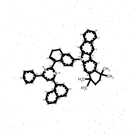 CC1(C)CCC(C)(C)c2cc3c(cc21)c1cc2ccccc2cc1n3-c1ccc2c(c1)CCC=C2c1nc(-c2ccccc2)cc(-c2cccc3ccccc23)n1